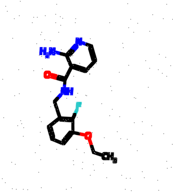 CCOc1cccc(CNC(=O)c2cccnc2N)c1F